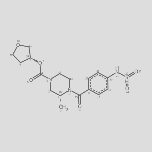 C[C@@H]1CN(C(=O)O[C@H]2CCOC2)CCN1C(=O)c1ccc(N[SH](=O)=O)cc1